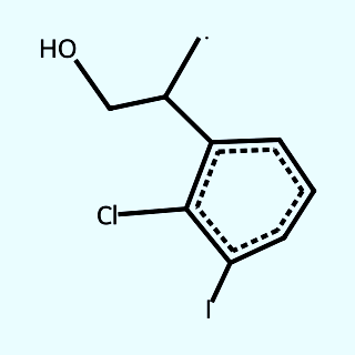 [CH2]C(CO)c1cccc(I)c1Cl